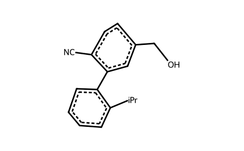 CC(C)c1ccccc1-c1cc(CO)ccc1C#N